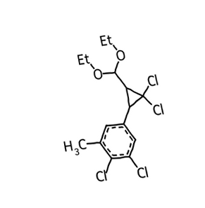 CCOC(OCC)C1C(c2cc(C)c(Cl)c(Cl)c2)C1(Cl)Cl